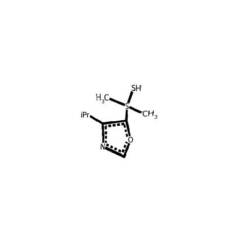 CC(C)c1ncoc1S(C)(C)S